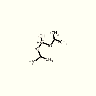 CC(C)O[SiH](O)OC(C)C